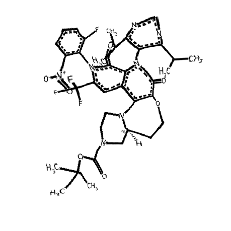 CC(C)c1ncnc(C(C)C)c1-n1c(=O)c2c(c3cc(C(F)(F)F)n(-c4c(F)cccc4[N+](=O)[O-])c(=O)c31)N1CCN(C(=O)OC(C)(C)C)C[C@@H]1CCO2